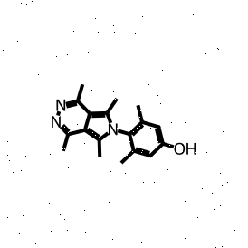 Cc1cc(O)cc(C)c1-n1c(C)c2c(C)nnc(C)c2c1C